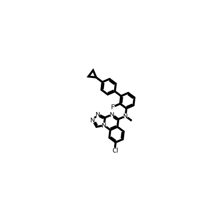 CN(c1cccc(-c2ccc(C3CC3)cc2)c1F)c1nc2nncn2c2cc(Cl)ccc12